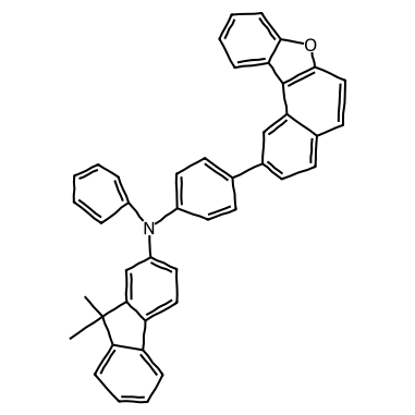 CC1(C)c2ccccc2-c2ccc(N(c3ccccc3)c3ccc(-c4ccc5ccc6oc7ccccc7c6c5c4)cc3)cc21